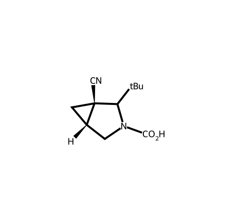 CC(C)(C)C1N(C(=O)O)C[C@@H]2C[C@]12C#N